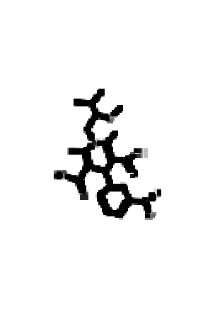 COC(CN1C(C)=C(C(=O)O)C(c2cccc([N+](=O)[O-])c2)C(C(=O)O)=C1C)C(C)C